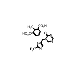 Cc1c(C(=O)O)cccc1C(=O)O.O=c1ncncn1Cc1cnc(C(F)(F)F)s1